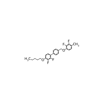 CCCCCOc1ccc(-c2ccc(COc3ccc(C)c(F)c3F)cc2)c(F)c1F